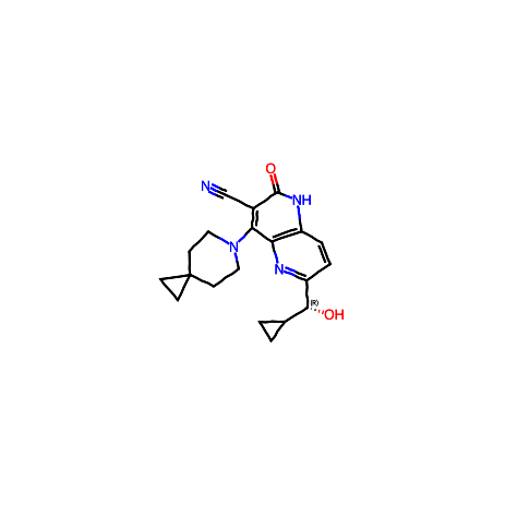 N#Cc1c(N2CCC3(CC2)CC3)c2nc([C@H](O)C3CC3)ccc2[nH]c1=O